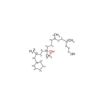 CC(C)CCCC(C)CCC(C)CCCC(C)(O)CCC(C)CC1CCCCC1